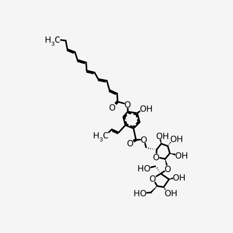 C/C=C/c1cc(OC(=O)/C=C/C=C/C=C/C=C/C=C/CC)c(O)cc1C(=O)OC[C@H]1O[C@H](O[C@]2(CO)O[C@H](CO)[C@@H](O)[C@@H]2O)[C@H](O)[C@@H](O)[C@@H]1O